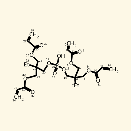 C=CC(=O)OCC(CC)(COC(=O)C=C)COP(=O)(O)OCC(CC)(COC(=O)C=C)COC(=O)C=C